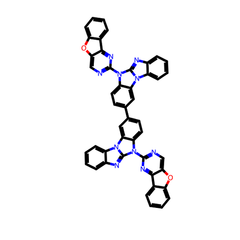 c1ccc2c(c1)nc1n(-c3ncc4oc5ccccc5c4n3)c3ccc(-c4ccc5c(c4)n4c6ccccc6nc4n5-c4ncc5oc6ccccc6c5n4)cc3n21